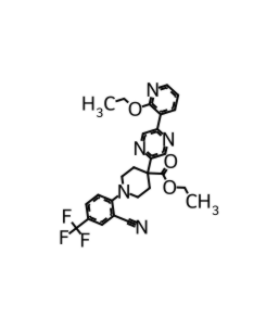 CCOC(=O)C1(c2cnc(-c3cccnc3OCC)cn2)CCN(c2ccc(C(F)(F)F)cc2C#N)CC1